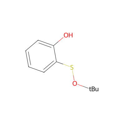 CC(C)(C)OSc1ccccc1O